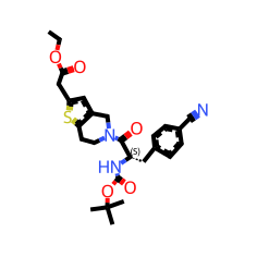 CCOC(=O)Cc1cc2c(s1)CCN(C(=O)[C@H](Cc1ccc(C#N)cc1)NC(=O)OC(C)(C)C)C2